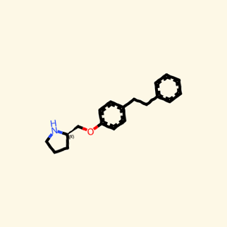 c1ccc(CCc2ccc(OC[C@H]3CCCN3)cc2)cc1